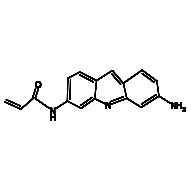 C=CC(=O)Nc1ccc2cc3ccc(N)cc3nc2c1